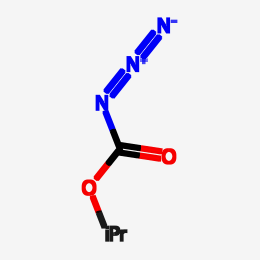 CC(C)OC(=O)N=[N+]=[N-]